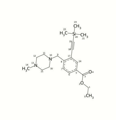 CCOC(=O)c1ccc(CN2CCN(C)CC2)c(C#C[Si](C)(C)C)c1